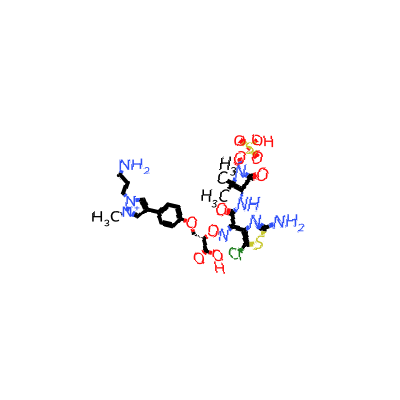 C[n+]1cc(-c2ccc(OC[C@H](O/N=C(\C(=O)N[C@@H]3C(=O)N(OS(=O)(=O)O)C3(C)C)c3nc(N)sc3Cl)C(=O)O)cc2)cn1CCCN